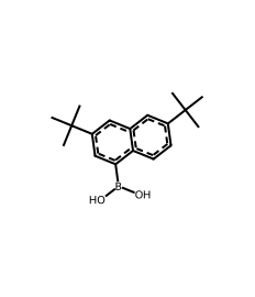 CC(C)(C)c1ccc2c(B(O)O)cc(C(C)(C)C)cc2c1